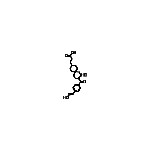 Cl.O=C(O)CCC1CCC2(CC1)CCN(C(=O)c1ccc(C=NO)cc1)CC2